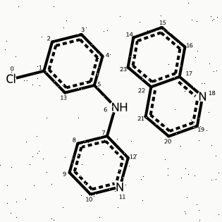 Clc1cccc(Nc2cccnc2)c1.c1ccc2ncccc2c1